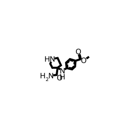 COC(=O)c1ccc(NC2(C(N)=O)CCNCC2)cc1